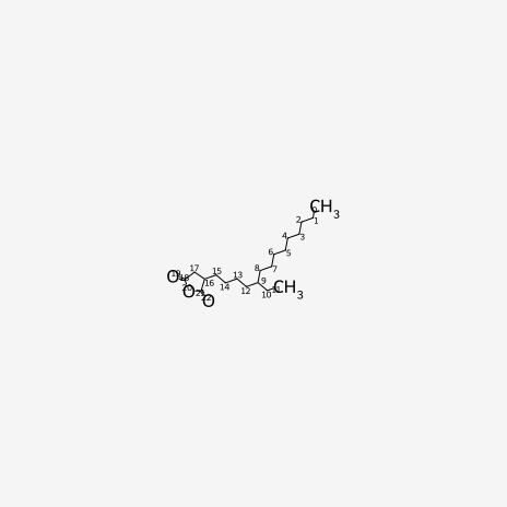 CCCCCCCCCC(CC)CCCCC1CC(=O)OC1=O